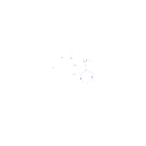 CO[C@@H]1[C@H](O)[C@H](O)[C@H](O)[C@@H](CO)O[C@H]1n1cc(C)c(=O)[nH]c1=O